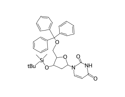 CC(C)(C)[Si](C)(C)OC1CC(n2ccc(=O)[nH]c2=O)OC1COC(c1ccccc1)(c1ccccc1)c1ccccc1